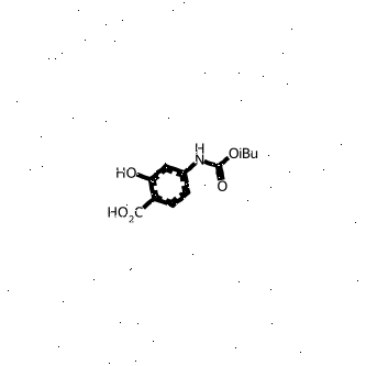 CC(C)COC(=O)Nc1ccc(C(=O)O)c(O)c1